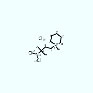 CC(C)(CC[N+]1(C)CCCCC1)N(Cl)Cl.[Cl-]